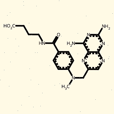 CN(Cc1cnc2nc(N)nc(N)c2n1)c1ccc(C(=O)NCCCC(=O)O)cc1